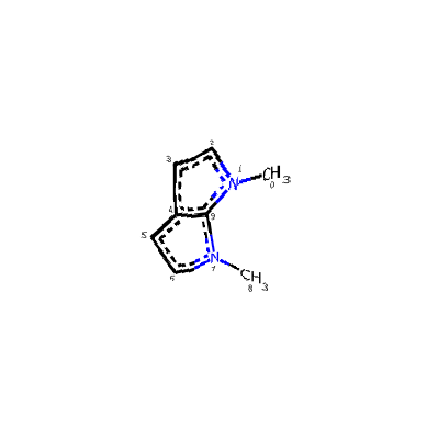 Cn1ccc2ccn(C)c21